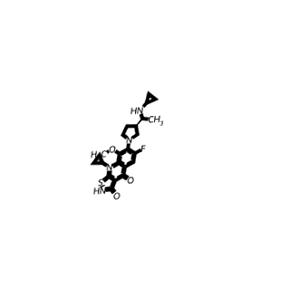 COc1c(N2CC[C@@H](C(C)NC3CC3)C2)c(F)cc2c(=O)c3c(=O)[nH]sc3n(C3CC3)c12